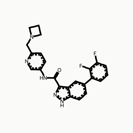 O=C(Nc1ccc(CN2CCC2)nc1)c1n[nH]c2ccc(-c3cccc(F)c3F)cc12